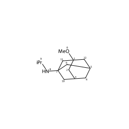 COC12CC3CC(CC(NC(C)C)(C3)C1)C2